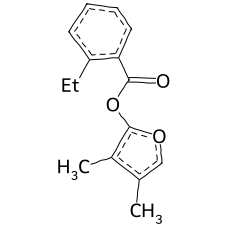 CCc1ccccc1C(=O)Oc1occ(C)c1C